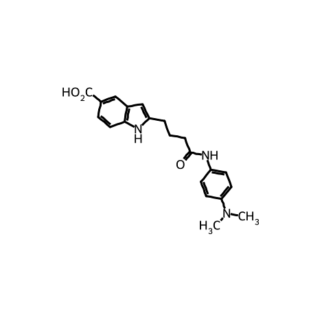 CN(C)c1ccc(NC(=O)CCCc2cc3cc(C(=O)O)ccc3[nH]2)cc1